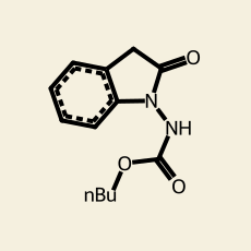 CCCCOC(=O)NN1C(=O)Cc2ccccc21